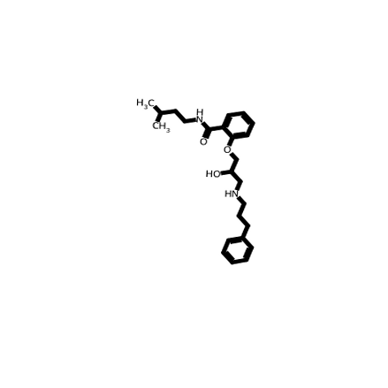 CC(C)CCNC(=O)c1ccccc1OCC(O)CNCCCc1ccccc1